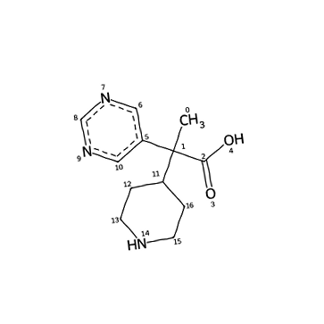 CC(C(=O)O)(c1cncnc1)C1CCNCC1